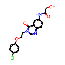 O=C(CO)Nc1ccc2ncn(CCOc3ccc(Cl)cc3)c(=O)c2c1